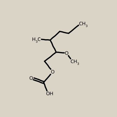 CCCC(C)C(COC(=O)O)OC